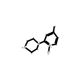 Cc1cc[n+]([O-])c(N2CCSCC2)c1